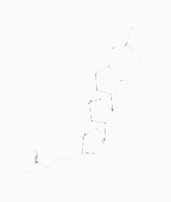 CC(=O)CCSC1CC2CC1C1C3CC(C4CC(SC(C)=O)CC43)C21